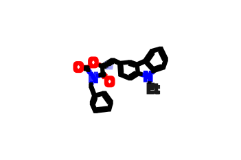 CCn1c2ccccc2c2cc(/C=C3/OC(=O)N(Cc4ccccc4)C3=O)ccc21